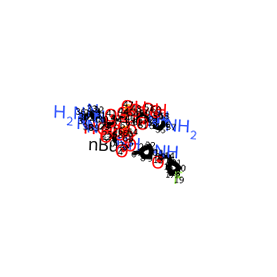 CCCC[C@H](NC(=O)OCc1ccc(NC(=O)Cc2ccc(F)cc2)cc1)C(=O)O[C@H]1[C@@H](O)[C@H](n2cnc3c(N)ncnc32)O[C@@H]1COP(=O)(O)O[C@H]1[C@@H](O)[C@H](n2ccc(N)nc2=O)O[C@@H]1COP(=O)(O)O